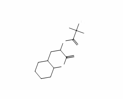 CCC(C)(C)C(=O)OC1CC2CCCCC2OC1=O